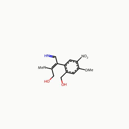 CN/C(CO)=C(\C=N)c1cc([N+](=O)[O-])c(OC)cc1CO